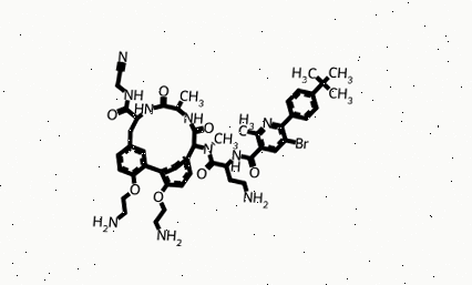 Cc1nc(-c2ccc(C(C)(C)C)cc2)c(Br)cc1C(=O)NC(CCN)C(=O)N(C)C1C(=O)NC(C)C(=O)NC(C(=O)NCC#N)Cc2ccc(OCCN)c(c2)-c2cc1ccc2OCCN